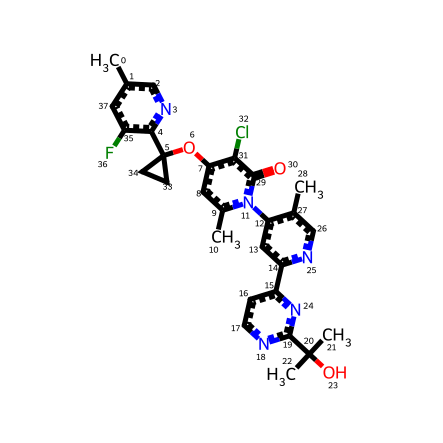 Cc1cnc(C2(Oc3cc(C)n(-c4cc(-c5ccnc(C(C)(C)O)n5)ncc4C)c(=O)c3Cl)CC2)c(F)c1